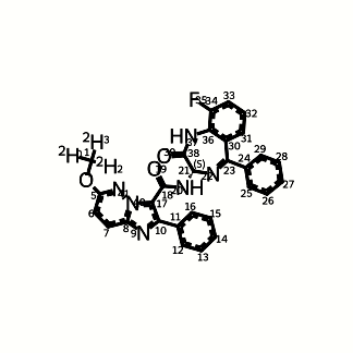 [2H]C([2H])([2H])Oc1ccc2nc(-c3ccccc3)c(C(=O)N[C@H]3N=C(c4ccccc4)c4cccc(F)c4NC3=O)n2n1